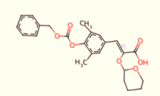 Cc1cc(/C=C(\OC2CCCCO2)C(=O)O)cc(C)c1OC(=O)OCc1ccccc1